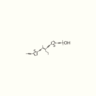 CC#Cc1ccc(C#C/C(C)=C(/C#Cc2ccc(C#CC(C)(C)O)s2)CCC)s1